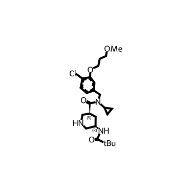 COCCCOc1cc(CN(C(=O)[C@@H]2CNC[C@H](NC(=O)C(C)(C)C)C2)C2CC2)ccc1Cl